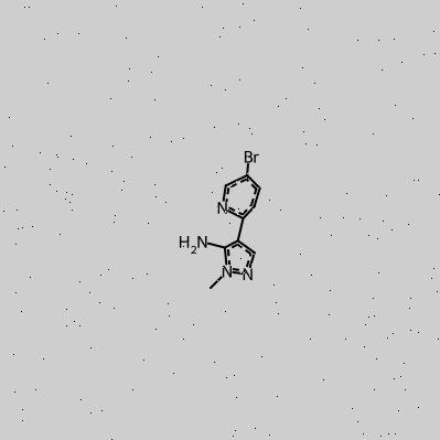 Cn1ncc(-c2ccc(Br)cn2)c1N